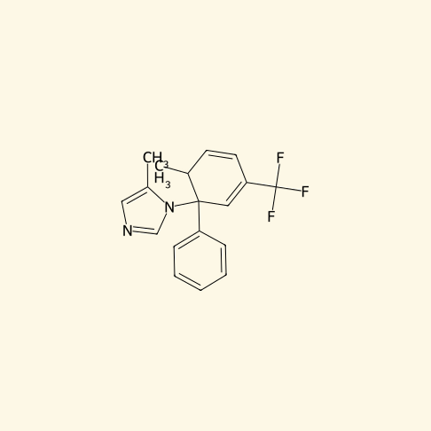 Cc1cncn1C1(c2ccccc2)C=C(C(F)(F)F)C=CC1C